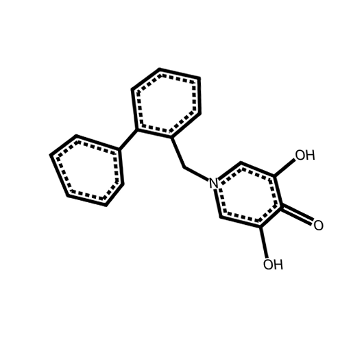 O=c1c(O)cn(Cc2ccccc2-c2ccccc2)cc1O